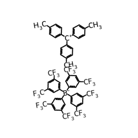 Cc1ccc([C+](c2ccc(C)cc2)c2ccc(C)cc2)cc1.FC(F)(F)c1cc([B-](c2cc(C(F)(F)F)cc(C(F)(F)F)c2)(c2cc(C(F)(F)F)cc(C(F)(F)F)c2)c2cc(C(F)(F)F)cc(C(F)(F)F)c2)cc(C(F)(F)F)c1